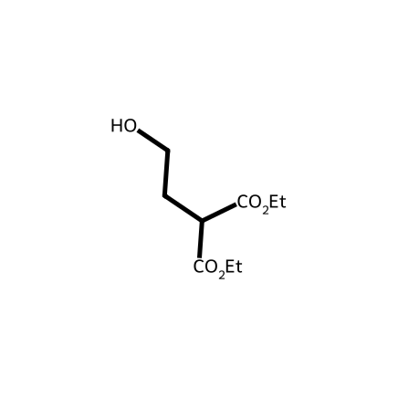 CCOC(=O)C(CCO)C(=O)OCC